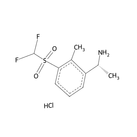 Cc1c([C@@H](C)N)cccc1S(=O)(=O)C(F)F.Cl